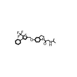 CC(C)NCC(=O)N1CCc2cc(OCc3cc(-c4ccccc4)c(C(F)(F)F)s3)ccc21